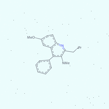 CNc1c(CC(C)C)nc2ccc(OC)cc2c1-c1ccccc1